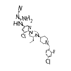 CC[C@H]1CN(c2ncc(N/C(N)=N/C#N)cc2Cl)CCN1C1CCN(Cc2ccc(Cl)cc2F)CC1